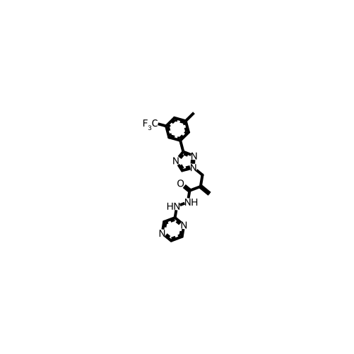 C=C(Cn1cnc(-c2cc(C)cc(C(F)(F)F)c2)n1)C(=O)NNc1cnccn1